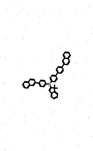 CC1(C)C(N(c2ccc(-c3ccc(-c4ccc5ccccc5c4)cc3)cc2)c2ccc(-c3ccc4ccccc4c3)cc2)=Cc2ccccc21